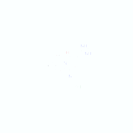 CCCc1cc(CC)cc(C(Nc2ccc(C(=N)N)cc2)C(=O)O)c1OCC(=O)N1CCCCCC1.Cl